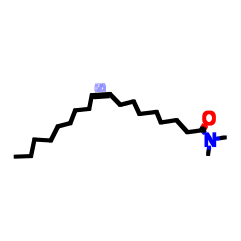 CCCCCCCC/C=C\CCCCCCCC(=O)N(C)C